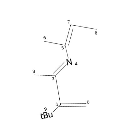 C=C(/C(C)=N/C(C)=C\C)C(C)(C)C